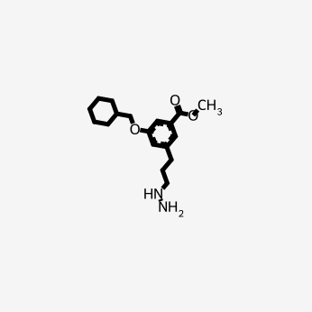 COC(=O)c1cc(CCCNN)cc(OCC2CCCCC2)c1